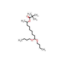 CCCCOC(CCCCCCC(C)OC(=O)C(C)(C)C)OCCCC